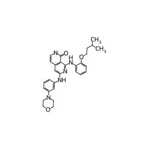 CC(C)CCOc1ccccc1Nc1nc(Nc2cccc(N3CCOCC3)c2)cc2c1C(=O)[N]C=C2